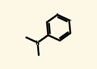 CN(C)c1c[c][c]cc1